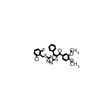 COc1ccc(C(=O)c2sc3nnc(SCc4c(F)cccc4Cl)n3c2-c2ccccc2)cc1OC